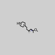 CO/C(C)=C/[C@H](C)CCN1CCNCC1